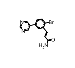 NC(=O)C=Cc1cc(-c2cncnc2)ccc1Br